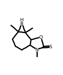 CN1C(=S)OC2C1CCCC1(C)BC21C